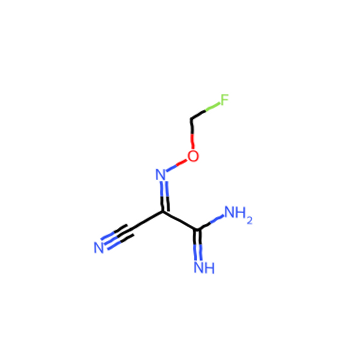 N#CC(=NOCF)C(=N)N